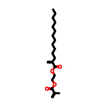 C=C(C)C(=O)OCCOC(=O)C(=C)CCCCCCCCCCCC